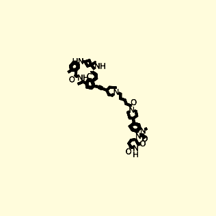 Cc1ccc(NC2CC3(CNC3)C2)cc1C(=O)NC(C)c1ccc(C#CC2CCN(CCCCC(=O)N3CCC(c4ccc5c(c4)n(C)c(=O)n5C4CCC(=O)NC4=O)CC3)CC2)c2ccccc12